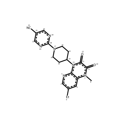 CCc1cnc2c(c1)n(C)c(=O)c(=O)n2C1CCN(c2ncc(C#N)cn2)CC1